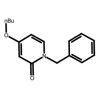 CCCCOc1ccn(Cc2ccccc2)c(=O)c1